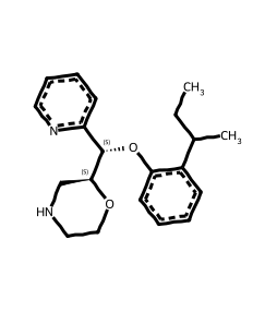 CCC(C)c1ccccc1O[C@@H](c1ccccn1)[C@@H]1CNCCO1